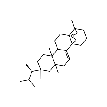 CC(C)[C@@H](C)C1(C)CCC2(C)C3CCC4C5(C)CCCC4(COC5)C3=CCC2(C)C1